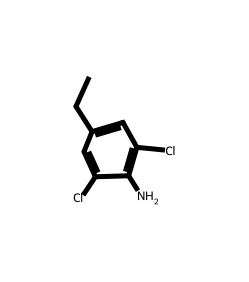 CCc1cc(Cl)c(N)c(Cl)c1